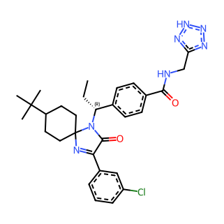 CC[C@H](c1ccc(C(=O)NCc2nn[nH]n2)cc1)N1C(=O)C(c2cccc(Cl)c2)=NC12CCC(C(C)(C)C)CC2